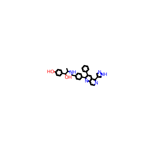 CC(NCc1ccc(-c2nc3ccnc(-c4cn[nH]c4)c3cc2-c2ccccc2)cc1)C(O)c1ccc(O)cc1